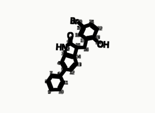 O=C1Nc2cc(-c3ccccc3)ccc2C1Cc1cc(Br)ccc1O